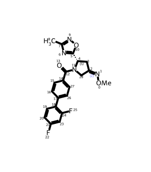 CO/N=C1/C[C@@H](c2nc(C)no2)N(C(=O)c2ccc(-c3ccc(F)cc3F)cc2)C1